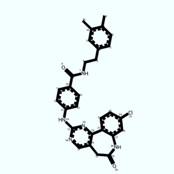 Cc1ccc(CCNC(=O)c2ccc(Nc3ncc4c(n3)-c3ccc(Cl)cc3NC(=O)C4)cc2)cc1C